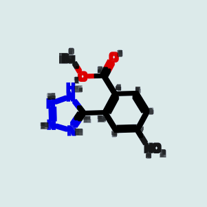 CCC(C)OC(=O)c1ccc([N+](=O)[O-])cc1-c1nnn[nH]1